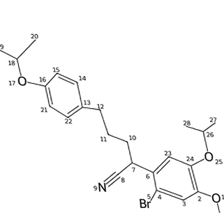 COc1cc(Br)c(C(C#N)CCCc2ccc(OC(C)C)cc2)cc1OC(C)C